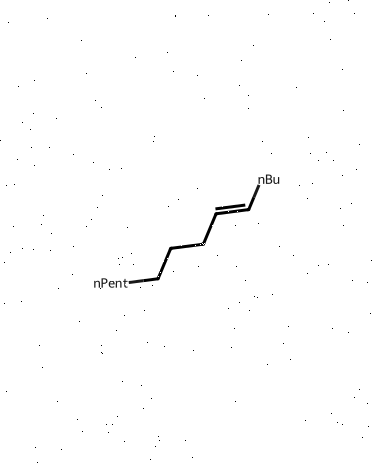 [CH2]CCC/C=C/CCCCCCC[CH2]